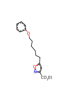 CCOC(=O)c1cc(CCCCCCOc2ccccc2)on1